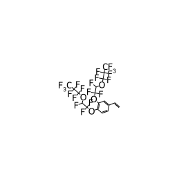 C=Cc1ccc(OC(F)(F)C(F)OC(F)(F)C(F)(F)C(F)(F)F)c(OC(F)(F)C(F)OC(F)(F)C(F)(F)C(F)(F)F)c1